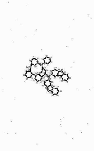 c1ccc(-n2c3cccc(c3)[nH]c3ccccc3c3cccc4c(N(c5ccc6sc7ccccc7c6c5)c5ccc6sc7ccccc7c6c5)cc2cc43)cc1